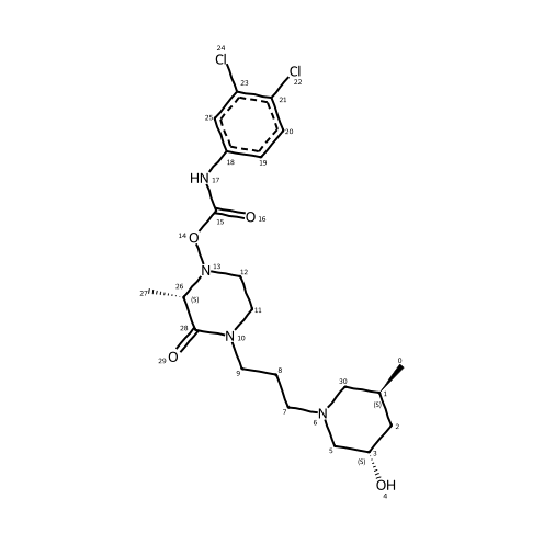 C[C@H]1C[C@H](O)CN(CCCN2CCN(OC(=O)Nc3ccc(Cl)c(Cl)c3)[C@@H](C)C2=O)C1